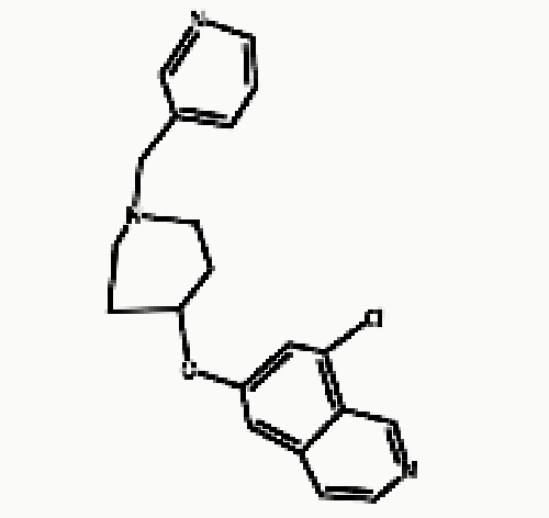 Clc1cc(OC2CCN(Cc3cccnc3)CC2)cc2ccncc12